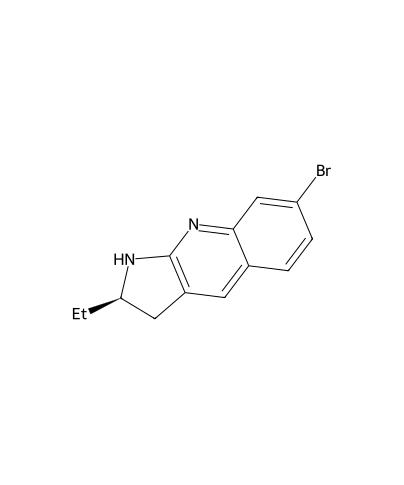 CC[C@@H]1Cc2cc3ccc(Br)cc3nc2N1